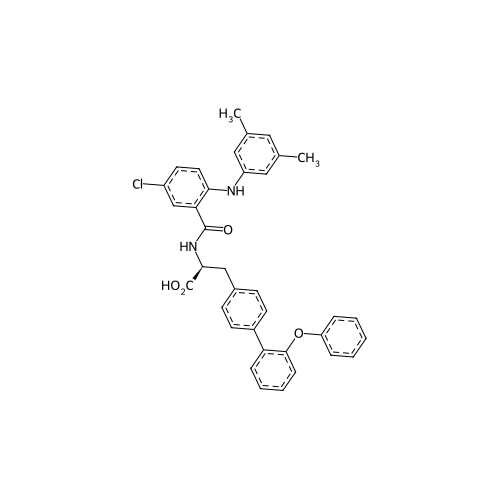 Cc1cc(C)cc(Nc2ccc(Cl)cc2C(=O)N[C@@H](Cc2ccc(-c3ccccc3Oc3ccccc3)cc2)C(=O)O)c1